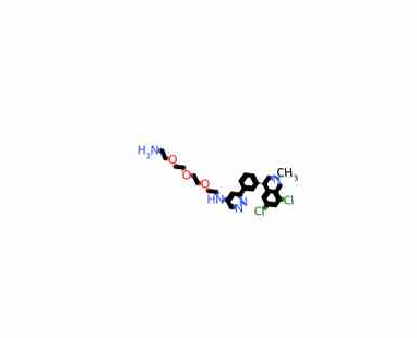 CN1Cc2c(Cl)cc(Cl)cc2[C@H](c2cccc(-c3cc(NCCOCCOCCOCCN)cnn3)c2)C1